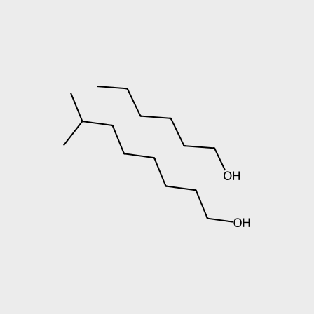 CC(C)CCCCCCO.CCCCCCO